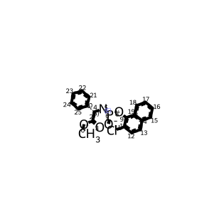 COC(=O)[C@@H](/N=[P+](\[O-])Oc1c(Cl)ccc2ccccc12)c1ccccc1